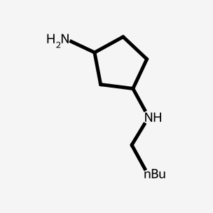 CCCCCNC1CCC(N)C1